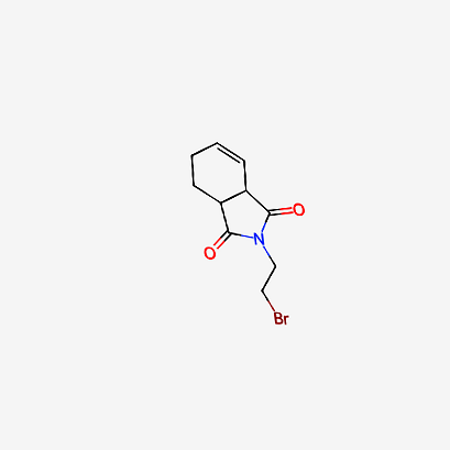 O=C1C2C=CCCC2C(=O)N1CCBr